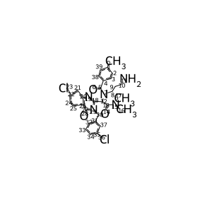 Cc1ccc(C(=O)N(CCCN)C(C(=O)N(C)C)c2nc3cc(Cl)ccc3c(=O)n2Cc2cccc(Cl)c2)cc1